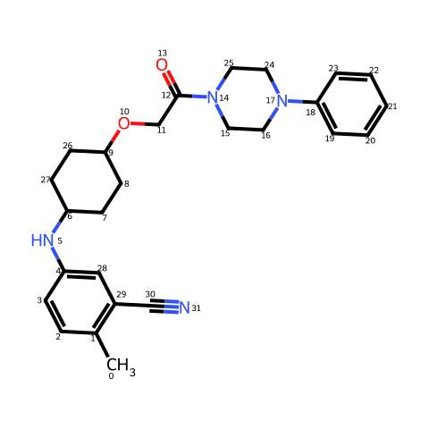 Cc1ccc(NC2CCC(OCC(=O)N3CCN(c4ccccc4)CC3)CC2)cc1C#N